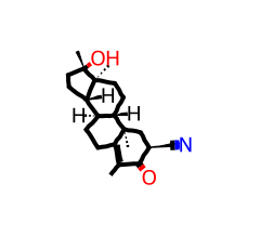 CC1=C2CC[C@@H]3[C@H](CC[C@@]4(C)[C@H]3CC[C@]4(C)O)[C@@]2(C)C[C@@H](C#N)C1=O